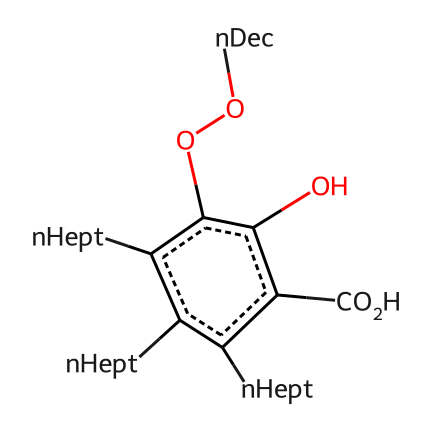 CCCCCCCCCCOOc1c(O)c(C(=O)O)c(CCCCCCC)c(CCCCCCC)c1CCCCCCC